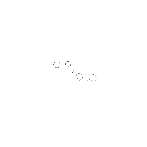 Cc1cc(Nc2ccc(C(=O)Nc3nc(-c4cccc(C(F)(F)F)c4F)cs3)cc2)ncn1